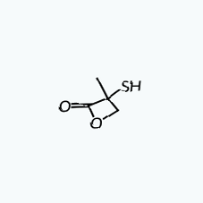 CC1(S)COC1=O